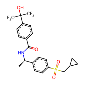 C[C@@H](NC(=O)c1ccc(C(O)(C(F)(F)F)C(F)(F)F)cc1)c1ccc(S(=O)(=O)CC2CC2)cc1